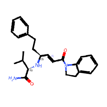 CC(C)[C@H](N[C@H](/C=C/C(=O)N1CCc2ccccc21)CCc1ccccc1)C(N)=O